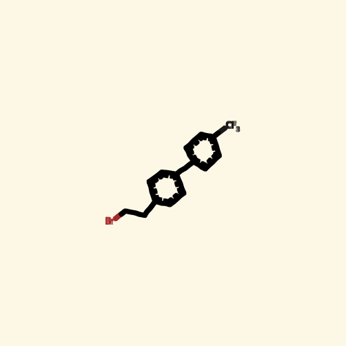 FC(F)(F)c1ccc(-c2ccc(CCBr)cc2)cc1